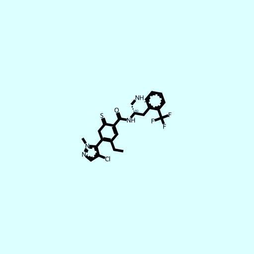 CCC1=C(c2c(Cl)cnn2C)CC(=S)C(C(=O)N[C@H](CN)Cc2ccccc2C(F)(F)F)=C1